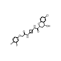 O=C(COc1ccc(F)c(F)c1)NC12CC(NC(=O)[C@@H]3C[C@H](O)c4cc(Cl)ccc4O3)(C1)C2